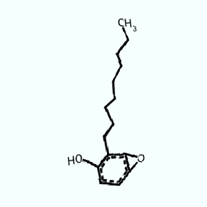 CCCCCCCCCc1c(O)ccc2c1O2